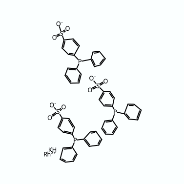 O=S(=O)([O-])c1ccc(P(c2ccccc2)c2ccccc2)cc1.O=S(=O)([O-])c1ccc(P(c2ccccc2)c2ccccc2)cc1.O=S(=O)([O-])c1ccc(P(c2ccccc2)c2ccccc2)cc1.[KH].[Rh+3]